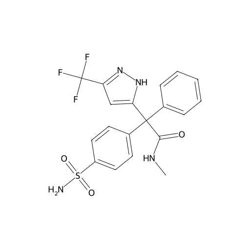 CNC(=O)C(c1ccccc1)(c1ccc(S(N)(=O)=O)cc1)c1cc(C(F)(F)F)n[nH]1